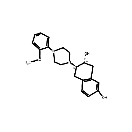 COc1ccccc1N1CCN([C@@H]2Cc3ccc(O)cc3C[C@H]2O)CC1